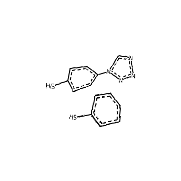 Sc1ccc(-n2cnnn2)cc1.Sc1ccccc1